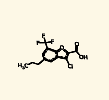 CCCc1cc(C(F)(F)F)c2oc(C(=O)O)c(Cl)c2c1